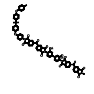 Cc1ccc(Oc2ccc(C(C)(C)c3ccc(Oc4ccc(N5C(=O)c6ccc(C(=O)c7ccc8c(c7)C(=O)N(c7ccc(-c9ccc(N%10C(=O)c%11ccc(C(=O)c%12ccc%13c(c%12)C(=O)N(C)C%13=O)cc%11C%10=O)c(O)c9)cc7O)C8=O)cc6C5=O)cc4)cc3)cc2)cc1